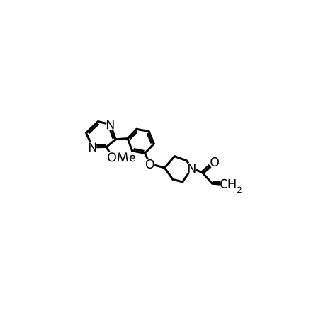 C=CC(=O)N1CCC(Oc2cccc(-c3nccnc3OC)c2)CC1